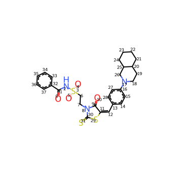 O=C(NS(=O)(=O)CCN1C(=O)C(=Cc2ccc(N3CCC4CCCCC4C3)cc2)SC1=S)c1ccccc1